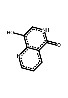 O=c1[nH]cc(O)c2ncccc12